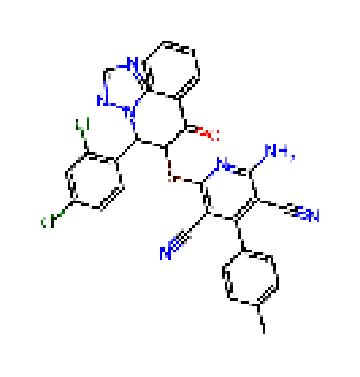 Cc1ccc(-c2c(C#N)c(N)nc(SC(C(=O)c3ccccc3)C(c3ccc(Cl)cc3Cl)n3cncn3)c2C#N)cc1